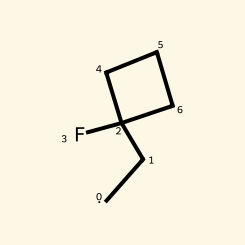 [CH2]CC1(F)CCC1